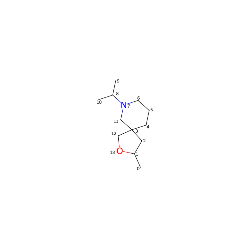 CC1CC2(CCCN(C(C)C)C2)CO1